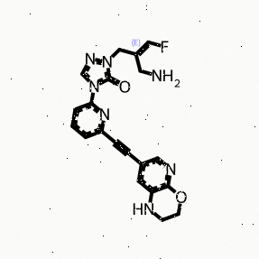 NC/C(=C\F)Cn1ncn(-c2cccc(C#Cc3cnc4c(c3)NCCO4)n2)c1=O